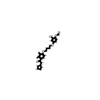 Cc1c(OCCCCOc2ccc(OC=O)c(Cl)c2)ccc(C(=O)CC2CCCC2)c1C